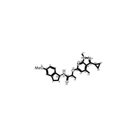 COc1ccc2c(c1)CC[C@@H]2NC(=O)C(C)Oc1cc(C)c2c(C3CC3)nn(C)c2n1